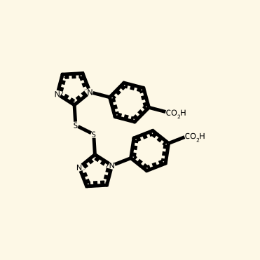 O=C(O)c1ccc(-n2ccnc2SSc2nccn2-c2ccc(C(=O)O)cc2)cc1